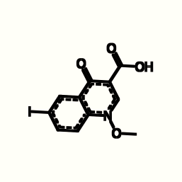 COn1cc(C(=O)O)c(=O)c2cc(I)ccc21